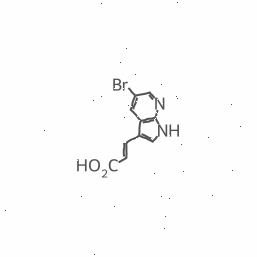 O=C(O)/C=C/c1c[nH]c2ncc(Br)cc12